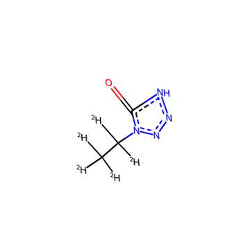 [2H]C([2H])([2H])C([2H])([2H])n1nn[nH]c1=O